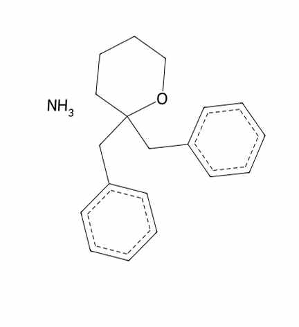 N.c1ccc(CC2(Cc3ccccc3)CCCCO2)cc1